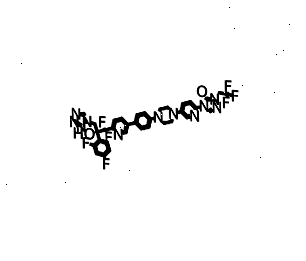 O=c1n(-c2ccc(N3CCN(c4ccc(-c5ccc(C(F)(F)[C@](O)(Cn6cnnn6)c6ccc(F)cc6F)nc5)cc4)CC3)cn2)cnn1CC(F)(F)F